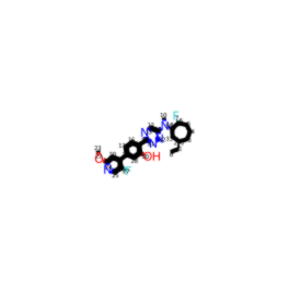 CC[C@@H]1CCC[C@H](F)[C@H](N(C)c2cnc(-c3ccc(-c4cc(OC)ncc4F)cc3O)nn2)C1